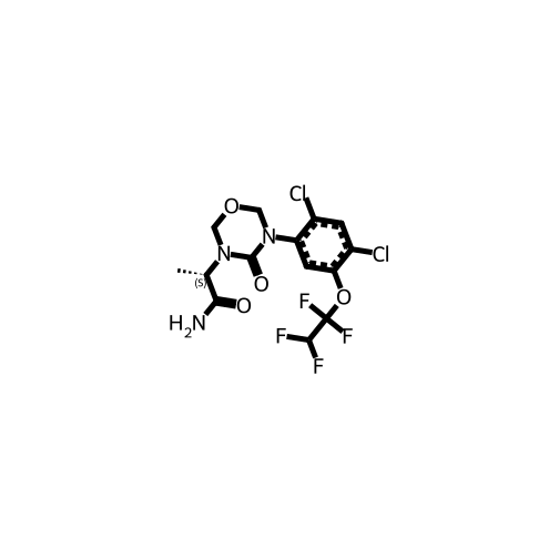 C[C@@H](C(N)=O)N1COCN(c2cc(OC(F)(F)C(F)F)c(Cl)cc2Cl)C1=O